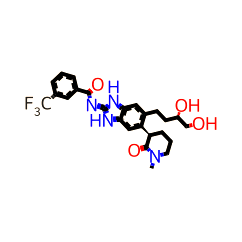 CN1CCC[C@H](c2cc3[nH]/c(=N/C(=O)c4cccc(C(F)(F)F)c4)[nH]c3cc2CC[C@@H](O)CO)C1=O